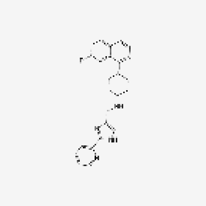 Fc1ccc2ccnc(N3CCC(NCc4c[nH]c(-c5ccccn5)n4)CC3)c2c1